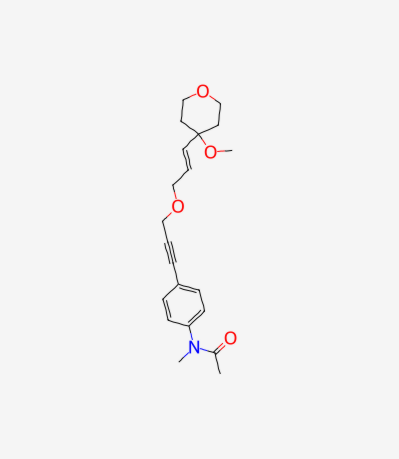 COC1(/C=C/COCC#Cc2ccc(N(C)C(C)=O)cc2)CCOCC1